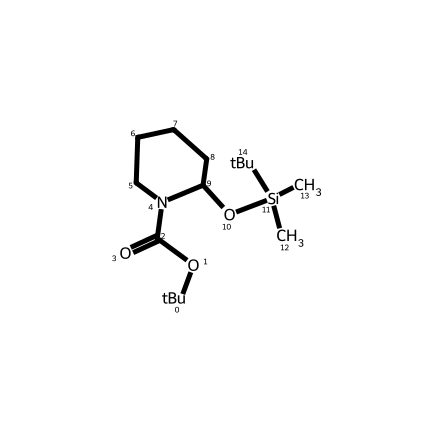 CC(C)(C)OC(=O)N1CCCCC1O[Si](C)(C)C(C)(C)C